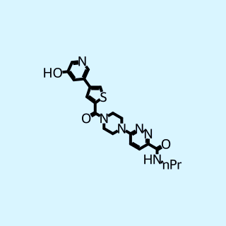 CCCNC(=O)c1ccc(N2CCN(C(=O)c3cc(-c4cncc(O)c4)cs3)CC2)nn1